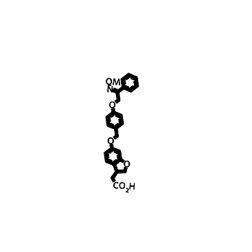 CON=C(COc1ccc(COc2ccc3c(c2)OCC3CC(=O)O)cc1)c1ccccc1